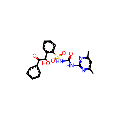 Cc1cc(C)nc(NC(=O)NS(=O)(=O)c2ccccc2C(O)C(=O)c2ccccc2)n1